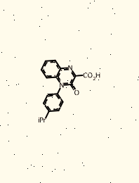 CC(C)c1ccc(-n2c(=O)c(C(=O)O)nc3ccccc32)cc1